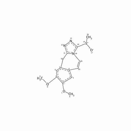 COc1cc2c(cc1OC)Cc1nnc([S+](C)[O-])n1C=C2